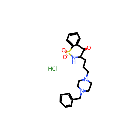 Cl.O=C1c2ccccc2S(=O)(=O)NC1CCCN1CCN(Cc2ccccc2)CC1